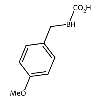 COc1ccc(CBC(=O)O)cc1